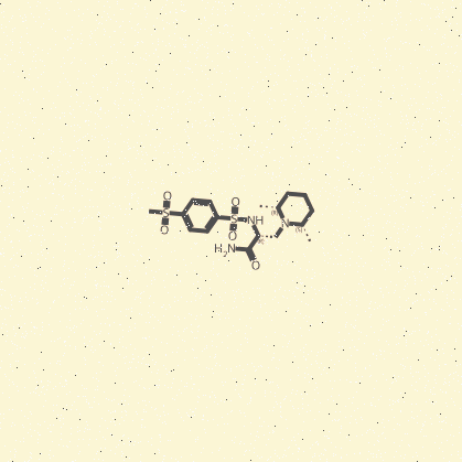 C[C@@H]1CCC[C@H](C)N1C[C@@H](NS(=O)(=O)c1ccc(S(C)(=O)=O)cc1)C(N)=O